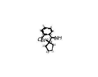 N=C(c1ccccc1Cl)C1(Br)CCCC1